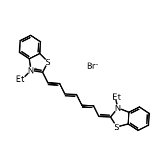 CCN1C(=CC=CC=CC=Cc2sc3ccccc3[n+]2CC)Sc2ccccc21.[Br-]